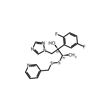 C[C@@H](SSCc1cccnc1)[C@](O)(Cn1cncn1)c1cc(F)ccc1F